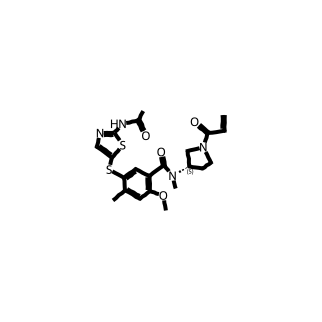 C=CC(=O)N1CC[C@H](N(C)C(=O)c2cc(Sc3cnc(NC(C)=O)s3)c(C)cc2OC)C1